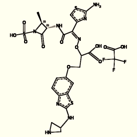 C[C@H]1[C@H](NC(=O)C(=NOC(COc2ccc3nc(NC4CNC4)sc3c2)C(=O)O)c2csc(N)n2)C(=O)N1S(=O)(=O)O.O=C(O)C(F)(F)F